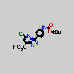 CC(C)(C)OC(=O)Nc1ccc(-c2nnc3c(C(=O)O)cc(Cl)nn23)cc1